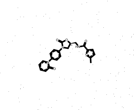 Cc1ccc(C(=O)NC[C@H]2CN(c3ccc(-n4ccccc4=O)cc3)C(=O)O2)s1